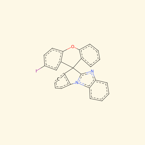 Ic1ccc2c(c1)C1(c3ccccc3O2)c2ccccc2-n2c1nc1ccccc12